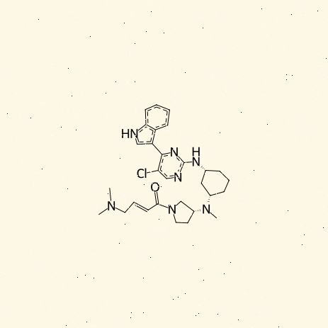 CN(C)C/C=C/C(=O)N1CC[C@@H](N(C)[C@H]2CCC[C@@H](Nc3ncc(Cl)c(-c4c[nH]c5ccccc45)n3)C2)C1